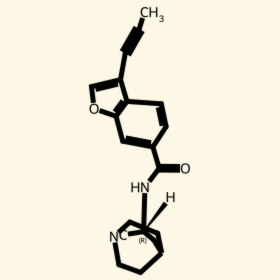 CC#Cc1coc2cc(C(=O)N[C@@H]3CC4CCN(CC4)C3)ccc12